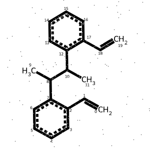 C=Cc1ccccc1C(C)C(C)c1ccccc1C=C